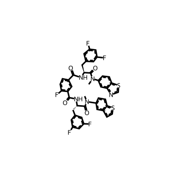 CN(C(=O)[C@H](Cc1cc(F)cc(F)c1)NC(=O)c1ccc(F)c(C(=O)N[C@@H](Cc2cc(F)cc(F)c2)C(=O)N(C)c2ccc3sccc3c2)c1)c1ccc2scnc2c1